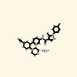 Cc1ccc(-n2ncc(C(=O)Nc3ccc(C4CC(C#N)CCC4N4CCOCC4)nc3)c2C)cc1.Cl